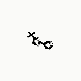 CC(C)(C)c1cnc(-c2cccnc2)s1